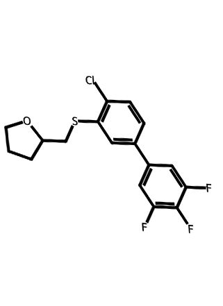 Fc1cc(-c2ccc(Cl)c(SCC3CCCO3)c2)cc(F)c1F